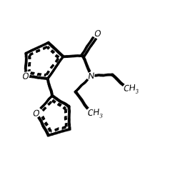 CCN(CC)C(=O)c1ccoc1-c1ccco1